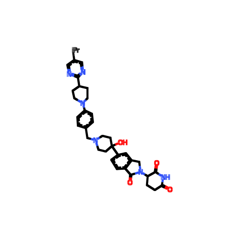 CC(C)c1cnc(C2CCN(c3ccc(CN4CCC(O)(c5ccc6c(c5)CN(C5CCC(=O)NC5=O)C6=O)CC4)cc3)CC2)nc1